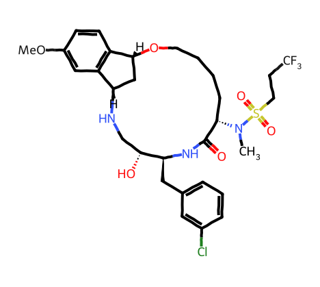 COc1ccc2c(c1)[C@@H]1C[C@H]2OCCCC[C@H](N(C)S(=O)(=O)CCC(F)(F)F)C(=O)N[C@@H](Cc2cccc(Cl)c2)[C@H](O)CN1